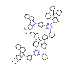 CC1(C)CCC(C)(C)c2cc3c(cc21)c1c2ccccc2ccc1n3-c1cccc(-c2nc(-c3ccccc3)nc(-c3cccc(C4(c5ccc(CC6(C)CCC(C)(C)c7cc8c9c%10ccccc%10ccc9n(-c9ccc(C%10=NC(c%11ccc%12c(c%11)C%11(c%13ccccc%13-c%13ccccc%13%11)c%11ccccc%11-%12)=NC(C%11=CC=CCC%11)N%10)cc9)c8cc76)cc5)c5ccccc5-c5ccccc54)c3)n2)c1